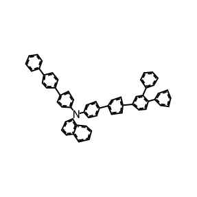 c1ccc(-c2ccc(-c3ccc(N(c4ccc(-c5ccc(-c6ccc(-c7ccccc7)c(-c7ccccc7)c6)cc5)cc4)c4cccc5ccccc45)cc3)cc2)cc1